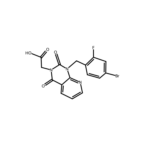 O=C(O)Cn1c(=O)c2cccnc2n(Cc2ccc(Br)cc2F)c1=O